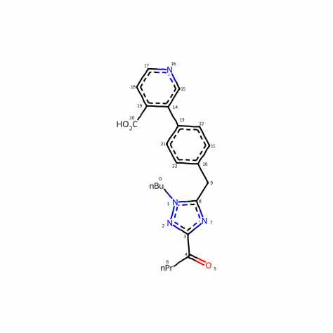 CCCCn1nc(C(=O)CCC)nc1Cc1ccc(-c2cnccc2C(=O)O)cc1